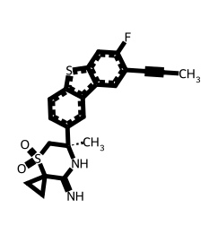 CC#Cc1cc2c(cc1F)sc1ccc([C@]3(C)CS(=O)(=O)C4(CC4)C(=N)N3)cc12